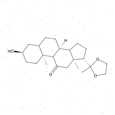 CC1([C@H]2CCC3[C@@H]4CCC5C[C@H](O)CC[C@]5(C)C4C(=O)C[C@@]32C)OCCO1